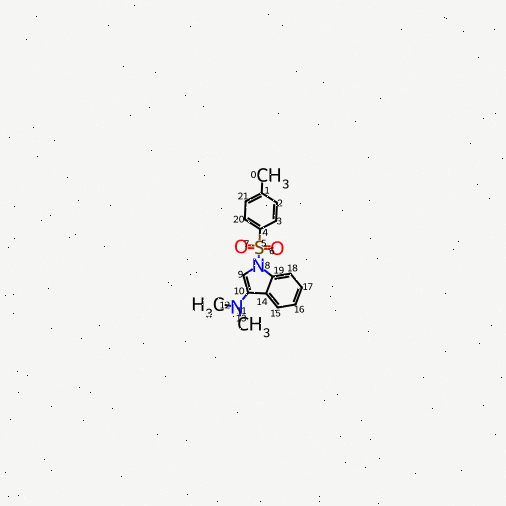 Cc1ccc(S(=O)(=O)n2cc(N(C)C)c3ccccc32)cc1